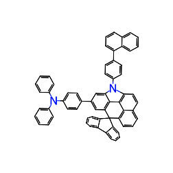 c1ccc(N(c2ccccc2)c2ccc(-c3cc4c5c6c7c(cccc7ccc6n(-c6ccc(-c7cccc8ccccc78)cc6)c5c3)C43c4ccccc4-c4ccccc43)cc2)cc1